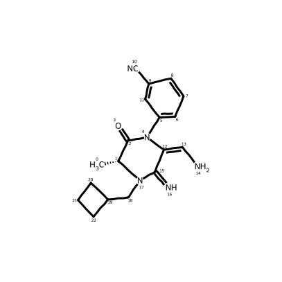 C[C@@H]1C(=O)N(c2cccc(C#N)c2)/C(=C/N)C(=N)N1CC1CCC1